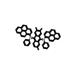 Cc1ccc2c(N(c3ccccc3)c3ccc4ccc5cccc6ccc3c4c56)c3cc(C)c(C)cc3c(N(c3ccccc3)c3ccc4ccc5cccc6ccc3c4c56)c2c1